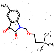 Bc1ccc2c(c1)C(=O)C(=O)N2COCC[Si](C)(C)C